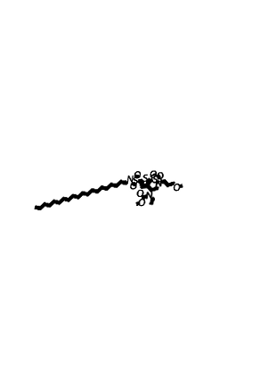 CCCCCCCCCCCCCCCCCCC/C=N/S(=O)(=O)c1cc2c(s1)S(=O)(=O)N(CCCOC)C[C@@H]2N(CC)C(=O)OC